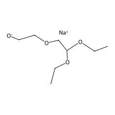 CCOC(COCC[O-])OCC.[Na+]